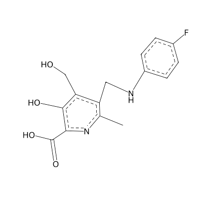 Cc1nc(C(=O)O)c(O)c(CO)c1CNc1ccc(F)cc1